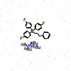 CCCC[N+](CCCC)(CCCC)CCCC.Fc1ccc([B-](CCCc2ccccc2)(c2ccc(F)cc2)c2ccc(F)cc2)cc1